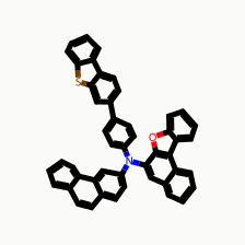 c1ccc2c(c1)ccc1ccc(N(c3ccc(-c4ccc5c(c4)sc4ccccc45)cc3)c3cc4ccccc4c4c3oc3ccccc34)cc12